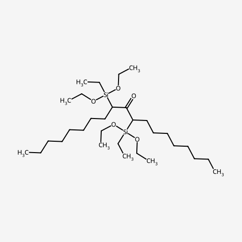 CCCCCCCCC(C(=O)C(CCCCCCCC)[Si](CC)(OCC)OCC)[Si](CC)(OCC)OCC